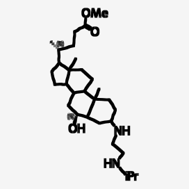 COC(=O)CC[C@@H](C)C1CCC2C3C[C@H](O)C4CC(NCCNC(C)C)CCC4(C)C3CCC21C